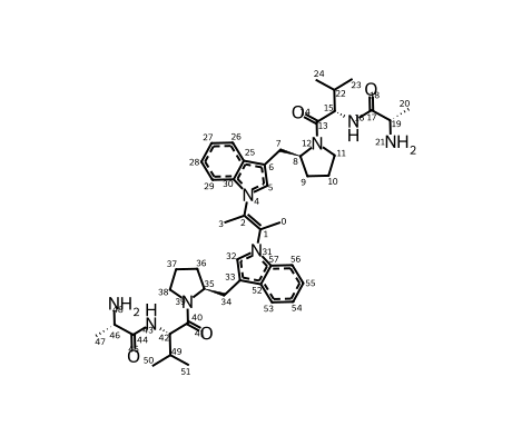 C/C(=C(/C)n1cc(C[C@@H]2CCCN2C(=O)[C@@H](NC(=O)[C@H](C)N)C(C)C)c2ccccc21)n1cc(C[C@@H]2CCCN2C(=O)[C@@H](NC(=O)[C@H](C)N)C(C)C)c2ccccc21